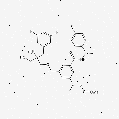 COOSN(C)c1cc(COCC(N)(CO)Cc2cc(F)cc(F)c2)cc(C(=O)N[C@H](C)c2ccc(F)cc2)c1